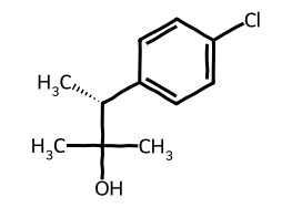 C[C@H](c1ccc(Cl)cc1)C(C)(C)O